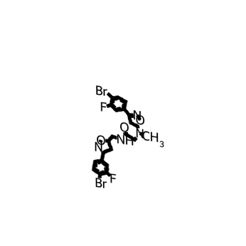 CN(CC(=O)NCC1CC(c2ccc(Br)c(F)c2)=NO1)C1CC(c2ccc(Br)c(F)c2)=NO1